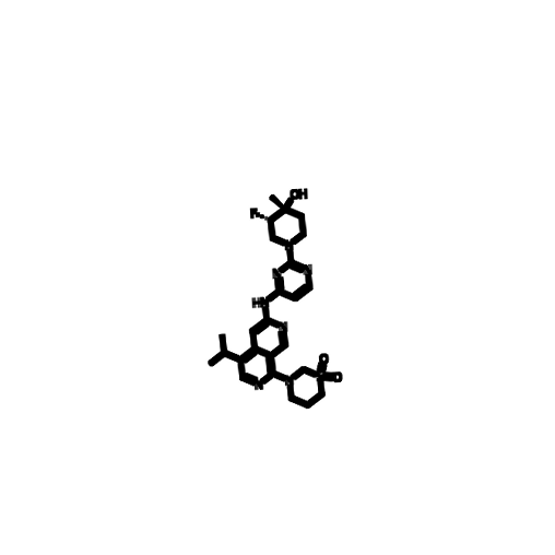 CC(C)c1cnc(N2CCCS(=O)(=O)C2)c2cnc(Nc3ccnc(N4CC[C@@](C)(O)[C@@H](F)C4)n3)cc12